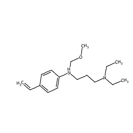 C=Cc1ccc([SiH](CCCN(CC)CC)COC)cc1